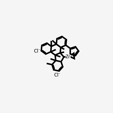 CC1=CC=CC2[CH]([Zr+2]3[CH2][CH2]3)C3(C)C4(C)C(C5=CC=CC5)=CC=CC4(C)C4(C)C=CC=CC4(C)C3(C)C12C.[Cl-].[Cl-]